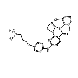 CN(C)CCCOc1ccc(Nc2ncc3c(n2)N2CCN=C2N(c2c(F)cccc2Cl)C3=O)cc1